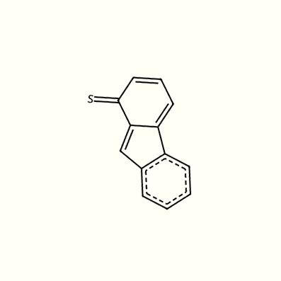 S=C1C=CC=C2C1=Cc1ccccc12